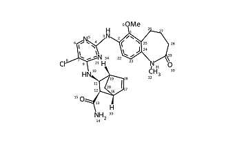 COc1c(Nc2ncc(Cl)c(N[C@@H]3[C@H](C(N)=O)[C@H]4C=C[C@@H]3C4)n2)ccc2c1CCCC(=O)N2C